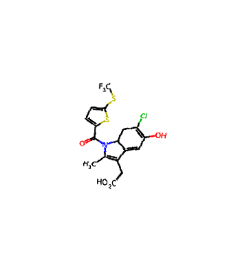 CC1=C(CC(=O)O)C2=CC(O)=C(Cl)CC2N1C(=O)c1ccc(SC(F)(F)F)s1